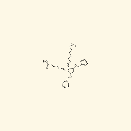 CCCCCCCO[C@@H]1[C@@H](C=CCCCCC(=O)O)[C@@H](OCc2ccccc2)C[C@H]1OCc1ccccc1